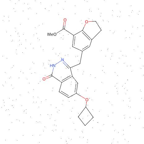 COC(=O)c1cc(Cc2n[nH]c(=O)c3ccc(OC4CCC4)cc23)cc2c1OCC2